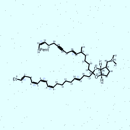 CC/C=C/C\C=C/C=C\C=C/CCCC/C=C/CCC1(CCCCC(C)/C=C/CC#CCC/C=C\CCCCC)O[C@H]2CCC(CN(C)C)[C@H]2O1